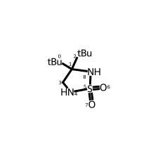 CC(C)(C)C1(C(C)(C)C)CNS(=O)(=O)N1